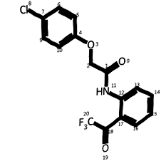 O=C(COc1ccc(Cl)cc1)Nc1ccccc1C(=O)C(F)(F)F